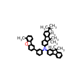 Cc1cccc2c1oc1ccc(-c3cccc(N(c4ccc5c(c4)C(C)(C)c4ccccc4-5)c4ccc5c(c4)C(C)(C)c4cc(C(C)(C)C)ccc4-5)c3)cc12